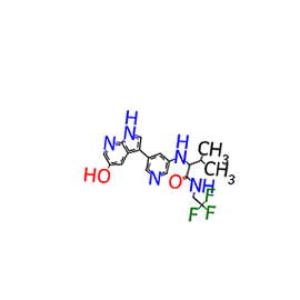 CC(C)C(Nc1cncc(-c2c[nH]c3ncc(O)cc23)c1)C(=O)NCC(F)(F)F